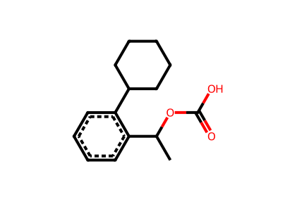 CC(OC(=O)O)c1ccccc1C1CCCCC1